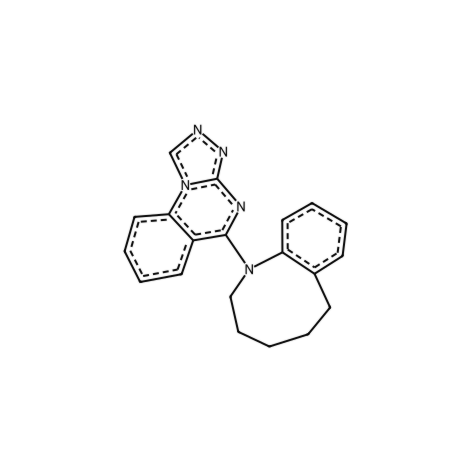 c1ccc2c(c1)CCCCCN2c1nc2nncn2c2ccccc12